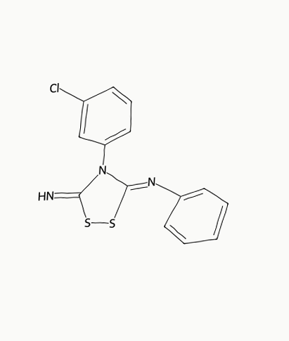 N=c1ssc(=Nc2ccccc2)n1-c1cccc(Cl)c1